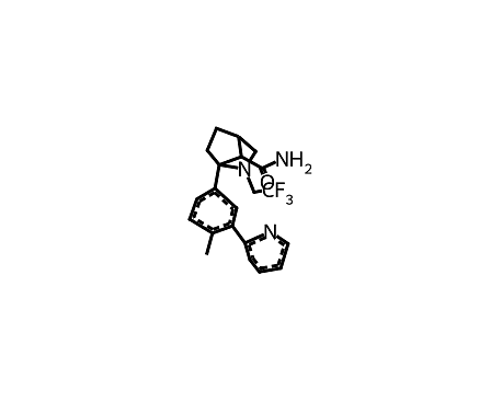 Cc1ccc(C23CCC(CN2CC(F)(F)F)C3C(N)=O)cc1-c1ccccn1